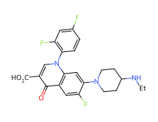 CCNC1CCN(c2cc3c(cc2F)c(=O)c(C(=O)O)cn3-c2ccc(F)cc2F)CC1